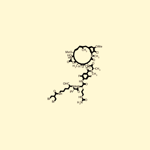 COc1cc2cc(c1Cl)N(C)C(=O)C[C@H](OC(=O)[C@H](C)N(C)C(=O)c1cc(F)c(NC(=O)[C@H](CCCNC(N)=O)NC(=O)[C@@H](NC(C=O)CCCCNC(=O)C(CBr)CBr)C(C)C)cc1F)[C@]1(C)O[C@H]1[C@H](C)[C@@H]1C[C@@](O)(NC(=O)O1)[C@H](OC)/C=C/C=C(\C)C2